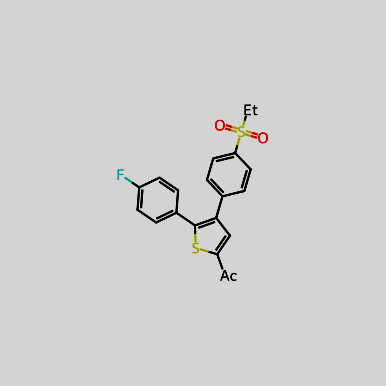 CCS(=O)(=O)c1ccc(-c2cc(C(C)=O)sc2-c2ccc(F)cc2)cc1